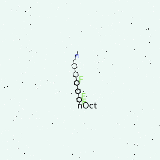 C/C=C/CCC1CCC(C2CC=C(c3ccc(-c4ccc(-c5ccc(CCCCCCCC)c(F)c5F)cc4)cc3F)CC2)CC1